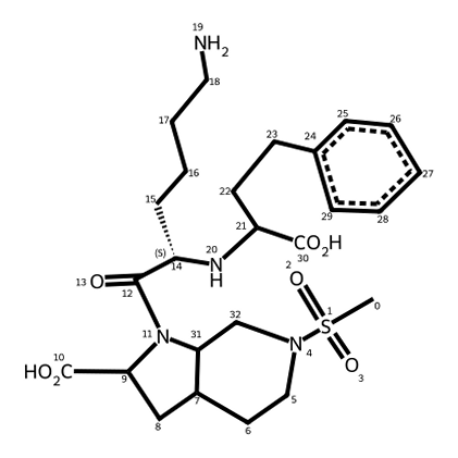 CS(=O)(=O)N1CCC2CC(C(=O)O)N(C(=O)[C@H](CCCCN)NC(CCc3ccccc3)C(=O)O)C2C1